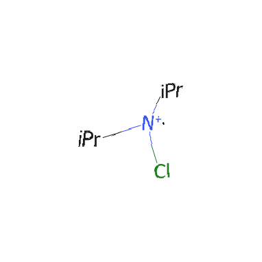 CC(C)[N+](Cl)C(C)C